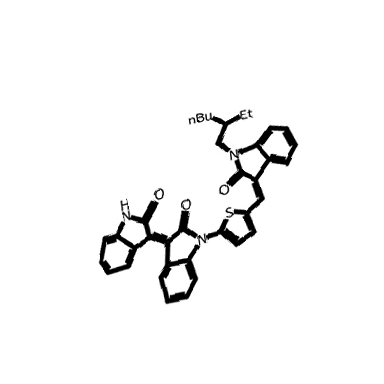 CCCCC(CC)CN1C(=O)/C(=C\c2ccc(N3C(=O)C(=C4C(=O)Nc5ccccc54)c4ccccc43)s2)c2ccccc21